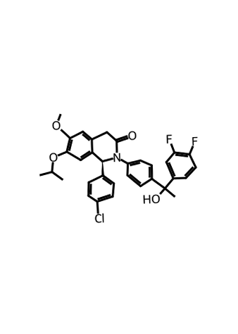 COc1cc2c(cc1OC(C)C)[C@H](c1ccc(Cl)cc1)N(c1ccc(C(C)(O)c3ccc(F)c(F)c3)cc1)C(=O)C2